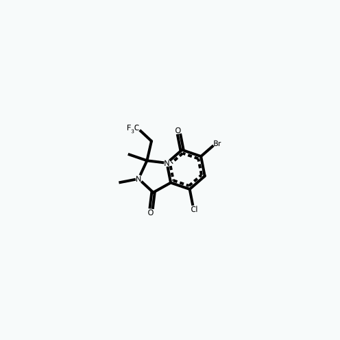 CN1C(=O)c2c(Cl)cc(Br)c(=O)n2C1(C)CC(F)(F)F